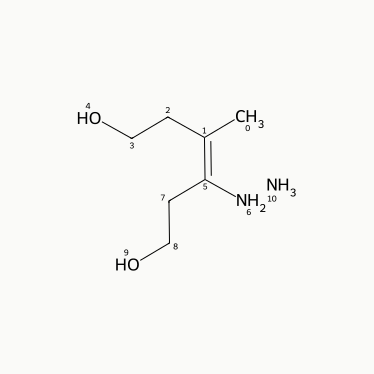 CC(CCO)=C(N)CCO.N